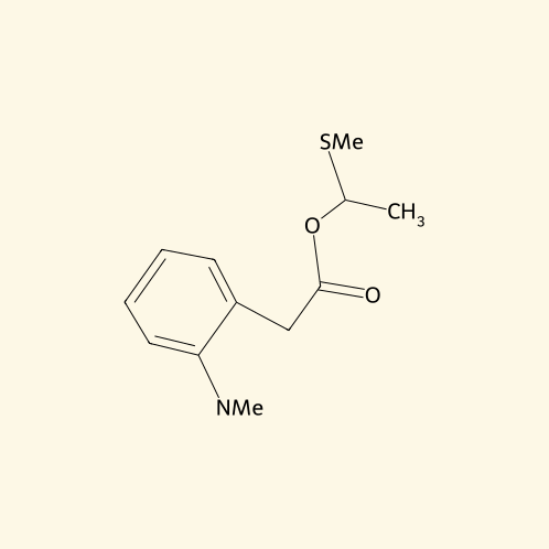 CNc1ccccc1CC(=O)OC(C)SC